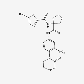 O=C(NC1(C(=O)Nc2ccc(N3CCOCC3=O)c([N+](=O)[O-])c2)CCCC1)c1ccc(Br)s1